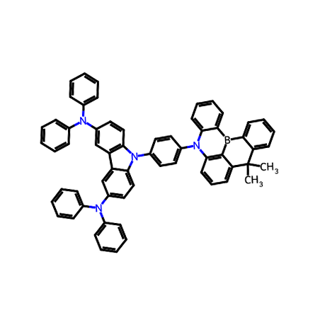 CC1(C)c2ccccc2B2c3ccccc3N(c3ccc(-n4c5ccc(N(c6ccccc6)c6ccccc6)cc5c5cc(N(c6ccccc6)c6ccccc6)ccc54)cc3)c3cccc1c32